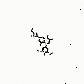 CC/C(C)=C\N(c1cc(OC)c(C)c(OC)c1)c1ccc(C2=CC(CC)N2)cc1C